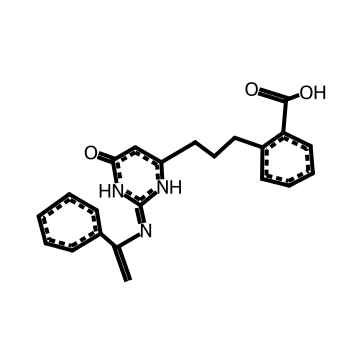 C=C(/N=c1/[nH]c(CCCc2ccccc2C(=O)O)cc(=O)[nH]1)c1ccccc1